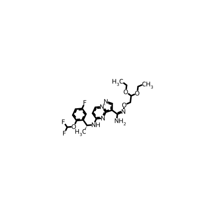 CCOC(CO/N=C(/N)c1cnn2ccc(N[C@H](C)c3cc(F)ccc3OC(F)F)nc12)OCC